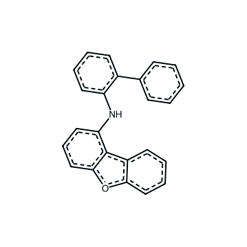 c1ccc(-c2ccccc2Nc2cccc3oc4ccccc4c23)cc1